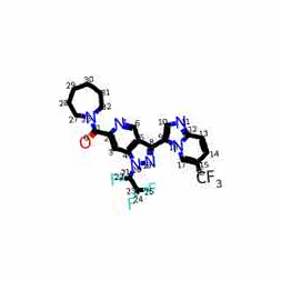 O=C(c1cc2c(cn1)c(-c1cnc3ccc(C(F)(F)F)cn13)nn2C(F)C(F)F)N1CCCCCC1